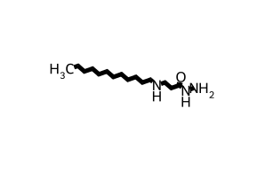 CCCCCCCCCCCCNCCC(=O)NN